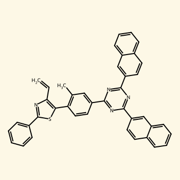 C=Cc1nc(-c2ccccc2)sc1-c1ccc(-c2nc(-c3ccc4ccccc4c3)nc(-c3ccc4ccccc4c3)n2)cc1C